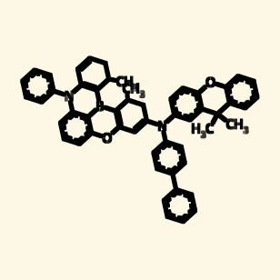 CC1CC(N(c2ccc(-c3ccccc3)cc2)c2ccc3c(c2)C(C)(C)c2ccccc2O3)=CC2=C1B1C3=C(C=CCC3C)N(c3ccccc3)c3cccc(c31)O2